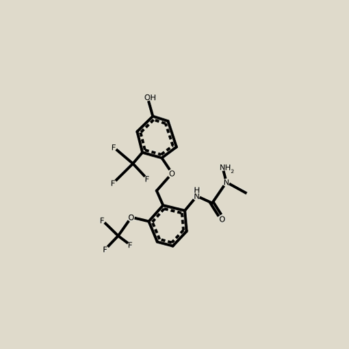 CN(N)C(=O)Nc1cccc(OC(F)(F)F)c1COc1ccc(O)cc1C(F)(F)F